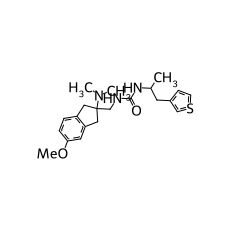 COc1ccc2c(c1)CC(CNC(=O)NC(C)Cc1ccsc1)(N(C)C)C2